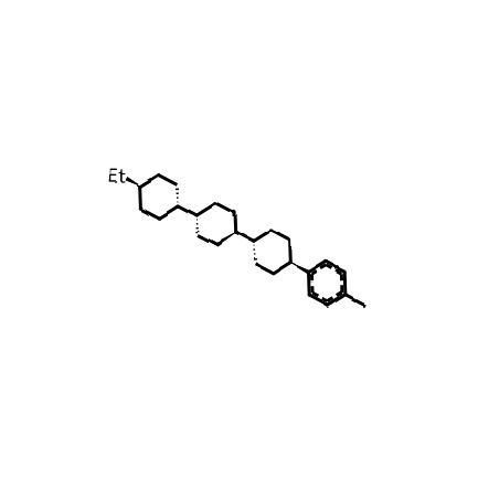 CC[C@H]1CC[C@H]([C@H]2CC[C@H]([C@H]3CC[C@H](c4ccc(C)cc4)CC3)CC2)CC1